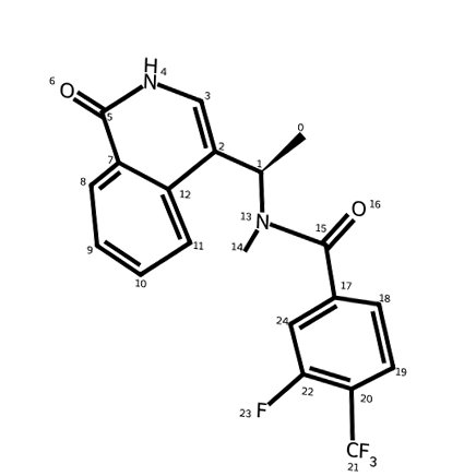 C[C@H](c1c[nH]c(=O)c2ccccc12)N(C)C(=O)c1ccc(C(F)(F)F)c(F)c1